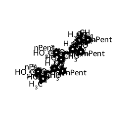 CCCCCc1cc(O)c2c(c1)OC(C)(c1ccc3c(c1)-c1c(cc(CCCCC)c(C(=O)O)c1O)OC3(C)CCC1=C[C@H]3c4c(O)cc(CCCCC)cc4OC(C)(C4=CC[C@@H]5[C@@H](C4)c4c(O)cc(CCCCC)cc4OC5(C)C)[C@@H]3CC1)c1ccc(CCC3(C)Oc4cc(CCC)c(C(=O)O)c(O)c4[C@@H]4C=C(C)CC[C@H]43)cc1-2